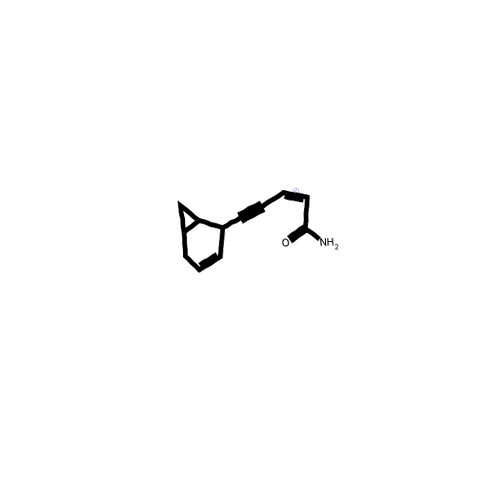 NC(=O)/C=C\C#CC1C=CCC2CC12